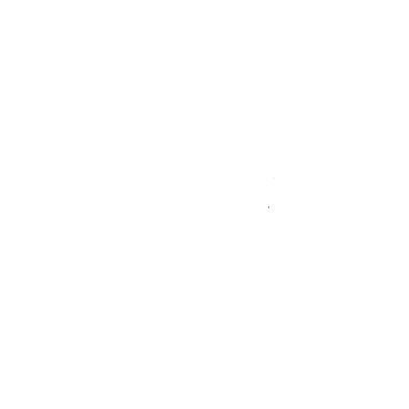 CC#CCCCCC(OCC(C)C)C(=O)OCC